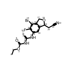 CCOC(=O)NC(=S)Nc1cc2c(c(Br)c1F)COC2CC#N